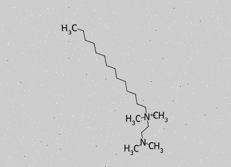 CCCCCCCCCCCCCC[N+](C)(C)CCN(C)C